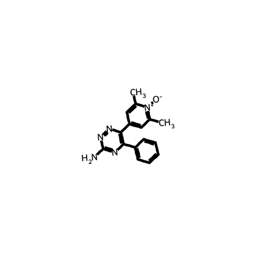 Cc1cc(-c2nnc(N)nc2-c2ccccc2)cc(C)[n+]1[O-]